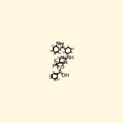 O[C@H](COc1nc(N[C@@H]2CCC[C@H](c3nnc4ccccn34)C2)ncc1C(F)(F)F)c1ccccc1